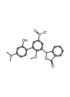 COc1c(-c2ccc(N(C)C)cc2O)cc([N+](=O)[O-])cc1C1OC(=O)c2ccccc21